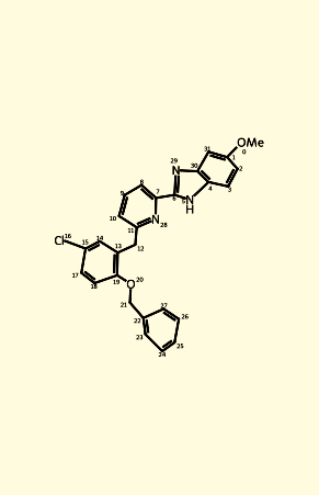 COc1ccc2[nH]c(-c3cccc(Cc4cc(Cl)ccc4OCc4ccccc4)n3)nc2c1